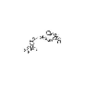 O=S(=O)(Nc1cccc(C(O)CNCCOc2ccc3c(OC(F)F)n[nH]c3c2)c1)c1ccccc1F